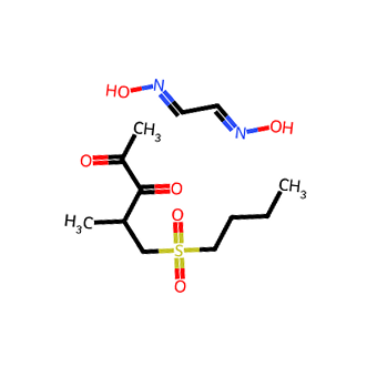 CCCCS(=O)(=O)CC(C)C(=O)C(C)=O.ON=CC=NO